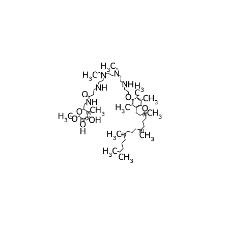 CCN(CCNCCOc1c(C)c(C)c2c(c1C)CC[C@@](C)(CCC[C@H](C)CCC[C@H](C)CCCC(C)C)O2)CCN(CC)CCNCCC(=O)NCC1OC(OC)[C@@H](O)[C@@H](O)[C@H]1C